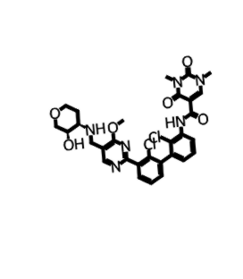 COc1nc(-c2cccc(-c3cccc(NC(=O)c4cn(C)c(=O)n(C)c4=O)c3Cl)c2Cl)ncc1CN[C@@H]1CCOC[C@@H]1O